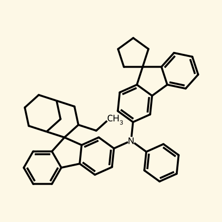 CCC1CC2CCCC(C2)C12c1ccccc1-c1ccc(N(c3ccccc3)c3ccc4c(c3)-c3ccccc3C43CCCC3)cc12